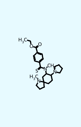 CCOC(=O)c1ccc(C(=S)N(C)C2CC3(CCCN3C)CCC2N2CCCC2)cc1